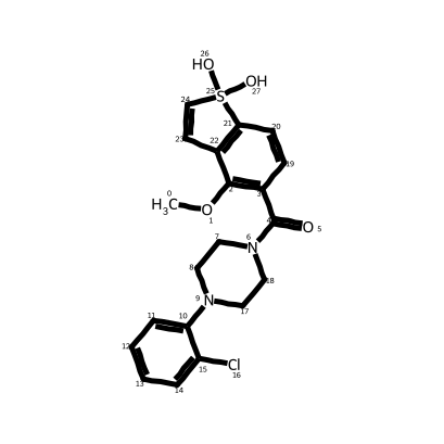 COc1c(C(=O)N2CCN(c3ccccc3Cl)CC2)ccc2c1C=CS2(O)O